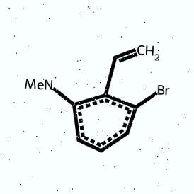 C=Cc1c(Br)cccc1NC